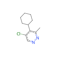 Cc1nncc(Cl)c1C1CCCCC1